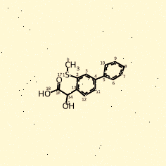 CSc1cc(-c2ccccc2)ccc1C(O)C(=O)O